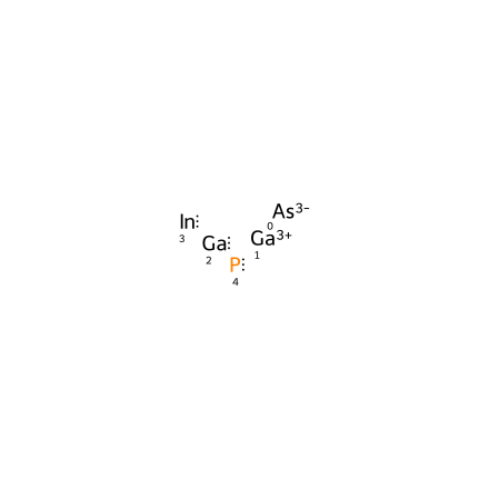 [As-3].[Ga+3].[Ga].[In].[P]